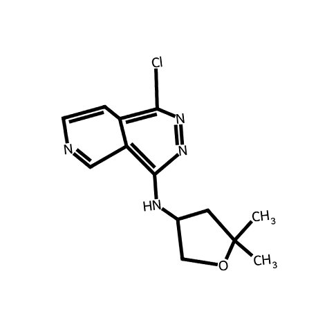 CC1(C)CC(Nc2nnc(Cl)c3ccncc23)CO1